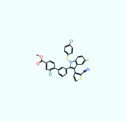 COC(=O)c1ccc(-c2cccc(-c3c(-c4ccsc4C#N)c4cc(F)ccc4n3Sc3ccc(Cl)cc3)c2)c(Cl)c1